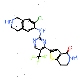 O=C1NCCc2sc(-c3nc(Nc4cc5c(cc4Cl)CNCC5)ncc3C(F)(F)F)cc21